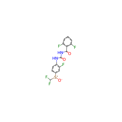 O=C(NC(=O)c1c(F)cccc1F)Nc1ccc([S+]([O-])C(F)F)cc1F